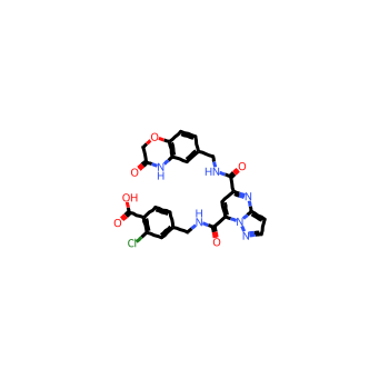 O=C1COc2ccc(CNC(=O)c3cc(C(=O)NCc4ccc(C(=O)O)c(Cl)c4)n4nccc4n3)cc2N1